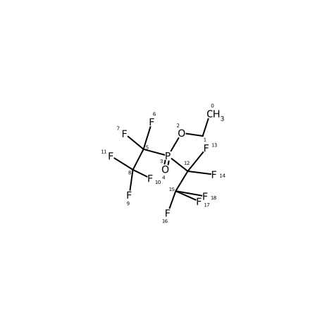 CCOP(=O)(C(F)(F)C(F)(F)F)C(F)(F)C(F)(F)F